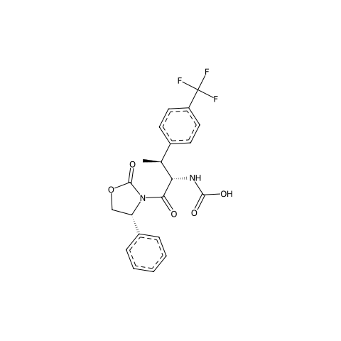 C[C@@H](c1ccc(C(F)(F)F)cc1)[C@H](NC(=O)O)C(=O)N1C(=O)OC[C@H]1c1ccccc1